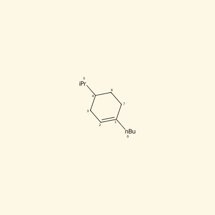 CC[CH]CC1=CCC(C(C)C)CC1